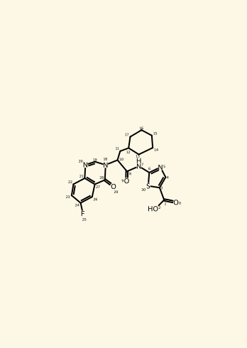 O=C(O)c1cnc(NC(=O)C(CC2CCCCC2)n2cnc3ccc(F)cc3c2=O)s1